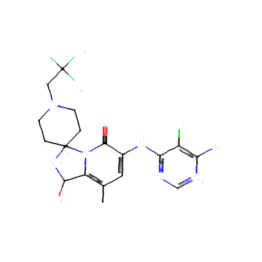 Cc1cc(Nc2ncnc(N)c2Cl)c(=O)n2c1C(O)NC21CCN(CC(F)(F)F)CC1